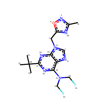 Cc1noc(Cn2cnc3c(N(CF)CF)nc(C(C)(C)C)nc32)n1